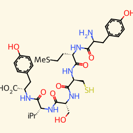 CSCC[C@H](NC(=O)[C@@H](N)Cc1ccc(O)cc1)C(=O)N[C@@H](CS)C(=O)N[C@H](CO)C(=O)N[C@@H](C(=O)N[C@@H](Cc1ccc(O)cc1)C(=O)O)C(C)C